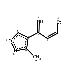 CC/C=C\C(=N)c1conc1C